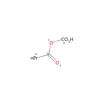 CCCC(=O)OC(=O)O